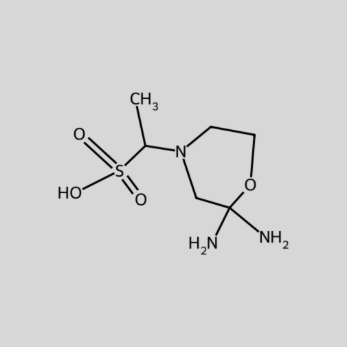 CC(N1CCOC(N)(N)C1)S(=O)(=O)O